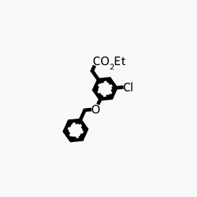 CCOC(=O)Cc1cc(Cl)cc(OCc2ccccc2)c1